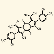 C/C(C#N)=C1\C(c2ccc(C(F)(F)F)c(C#N)c2)=C(C#N)c2c(F)c3c(c(F)c21)C(=C(C#N)C#N)C(c1ccc(C(F)(F)F)c(C#N)c1)=C3C#N